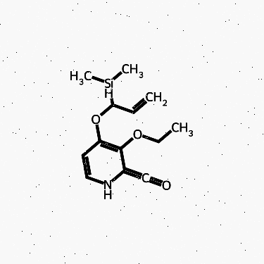 C=CC(OC1=C(OCC)C(=C=O)NC=C1)[SiH](C)C